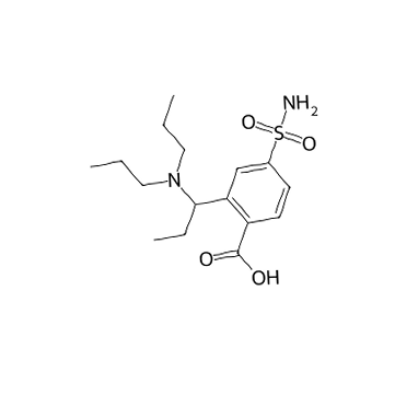 CCCN(CCC)C(CC)c1cc(S(N)(=O)=O)ccc1C(=O)O